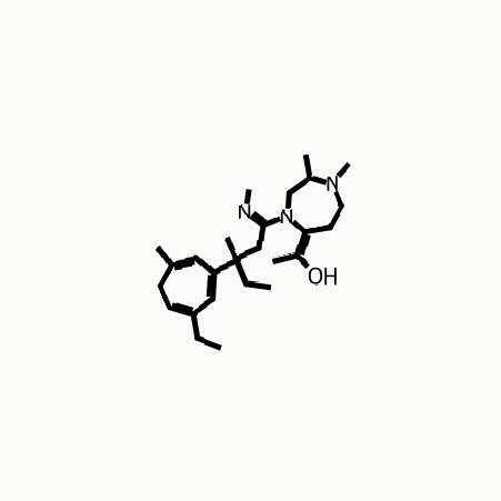 CCC1=CCC(C)=CC(C(C)(CC)C/C(=N/C)N2CC(C)N(C)CC/C2=C(/C)O)=C1